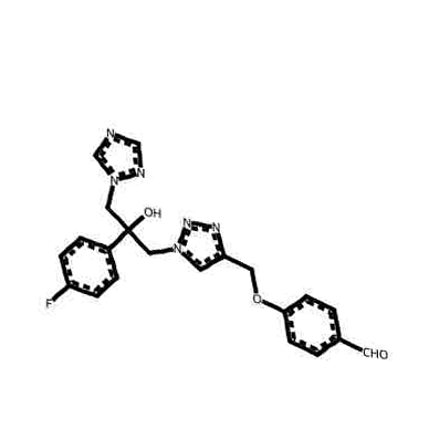 O=Cc1ccc(OCc2cn(CC(O)(Cn3cncn3)c3ccc(F)cc3)nn2)cc1